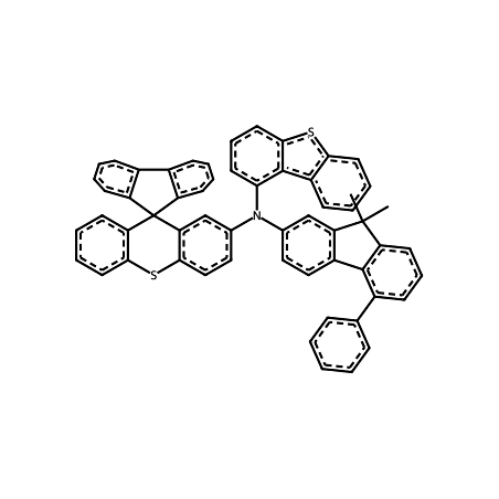 CC1(C)c2cc(N(c3ccc4c(c3)C3(c5ccccc5S4)c4ccccc4-c4ccccc43)c3cccc4sc5ccccc5c34)ccc2-c2c(-c3ccccc3)cccc21